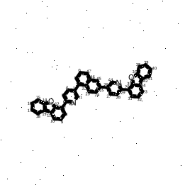 c1cc(-c2ccc(-c3cccc4c3oc3ccccc34)nc2)c2ccc(-c3ccc(-c4cccc5c4oc4ccccc45)nc3)cc2c1